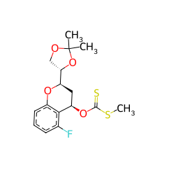 CSC(=S)O[C@@H]1C[C@H]([C@@H]2COC(C)(C)O2)Oc2cccc(F)c21